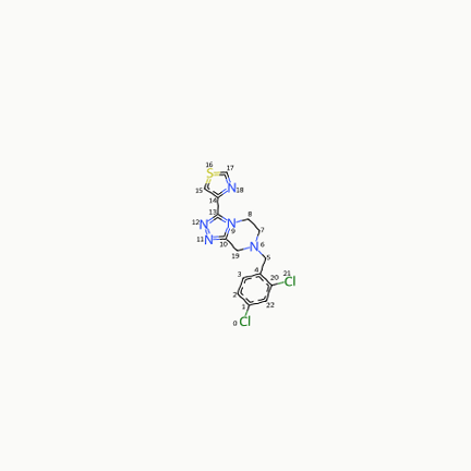 Clc1ccc(CN2CCn3c(nnc3-c3cscn3)C2)c(Cl)c1